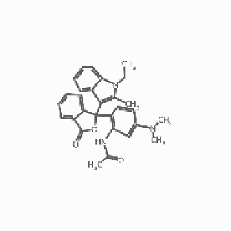 CCn1c(C)c(C2(c3ccc(N(C)C)cc3NC(C)=O)OC(=O)c3ccccc32)c2ccccc21